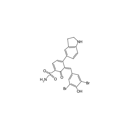 NS(=O)(=O)C1=CC=C(c2ccc3c(c2)CCN3)C(=Cc2cc(Br)c(O)c(Br)c2)C1=O